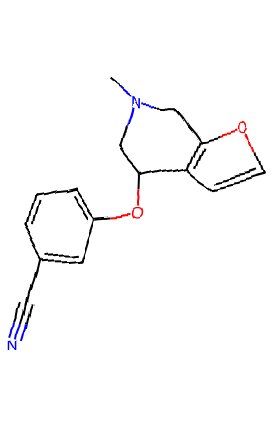 CN1Cc2occc2C(Oc2cccc(C#N)c2)C1